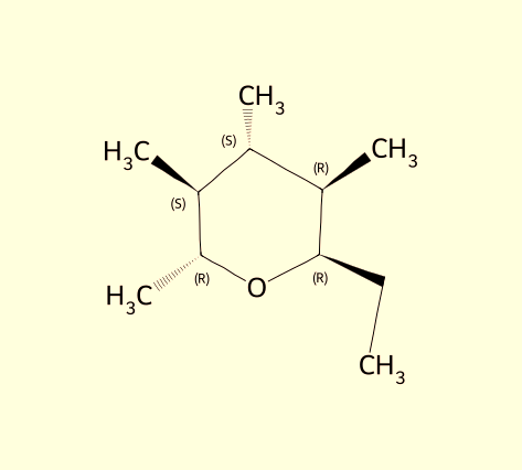 CC[C@H]1O[C@H](C)[C@@H](C)[C@H](C)[C@H]1C